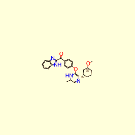 CO[C@H]1CCC[C@H](C2=C(Oc3ccc(C(=O)c4nc5ccccc5[nH]4)cc3)NC(C)C=N2)C1